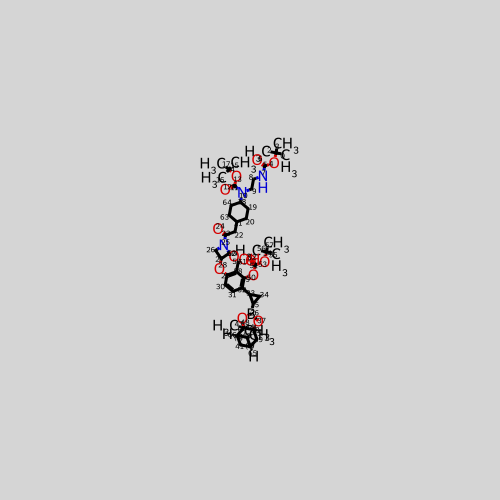 CC(C)(C)OC(=O)NCCN(C(=O)OC(C)(C)C)C1CCC(CC(=O)N2CC(Oc3ccc(C4CC4B4OC5C[C@@H]6C[C@@H](C6(C)C)[C@]5(C)O4)c(OC(=O)OC(C)(C)C)c3C(=O)O)C2)CC1